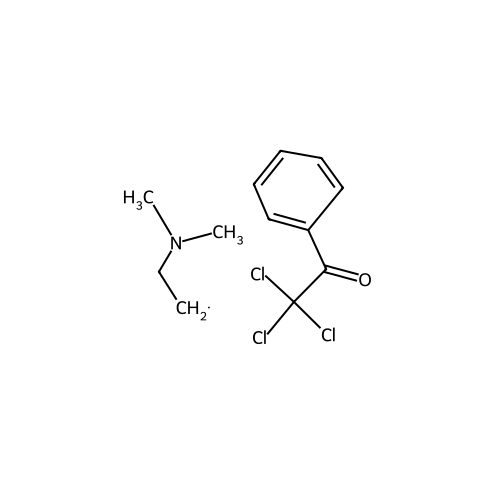 O=C(c1ccccc1)C(Cl)(Cl)Cl.[CH2]CN(C)C